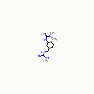 CN(C#N)C(=N)NC1CCCC(CNC(=N)NC#N)C1